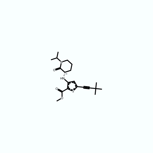 COC(=O)c1sc(C#CC(C)(C)C)cc1N[C@H]1CCCN(C(C)C)C1=O